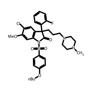 CCCCOc1ccc(S(=O)(=O)N2C(=O)C(CCCN3CCN(C)CC3)(c3ccccc3F)c3cc(Cl)c(OC)cc32)cc1